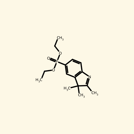 CCOP(=O)(OCC)c1ccc2c(c1)C(C)(C)C(C)=N2